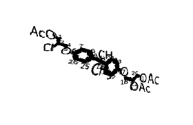 CC(=O)OCC(Cl)COc1ccc(C(C)(C)c2ccc(OCC(COC(C)=O)OC(C)=O)cc2)cc1